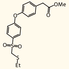 CCSCS(=O)(=O)c1ccc(Oc2ccc(CC(=O)OC)cc2)cc1